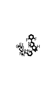 CCS(=O)(=O)Cc1nnc(-c2cccc([C@@]34CC[C@@H](c5cc(-c6c(F)cccc6F)nnc53)C4(C)C)n2)[nH]1